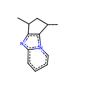 CC1CC(C)c2c1nc1ccccn21